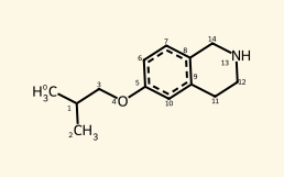 CC(C)COc1ccc2c(c1)CCNC2